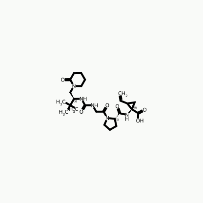 C=CC1C[C@]1(NC(=O)[C@@H]1CCCN1C(=O)CNC(=O)N[C@H](CN1CCCCC1=O)C(C)(C)C)C(=O)O